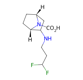 O=C(O)N1[C@@H]2CC[C@H]1C(NCCC(F)F)C2